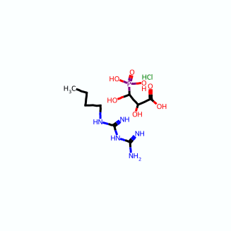 CCCCNC(=N)NC(=N)N.Cl.O=C(O)C(O)C(O)P(=O)(O)O